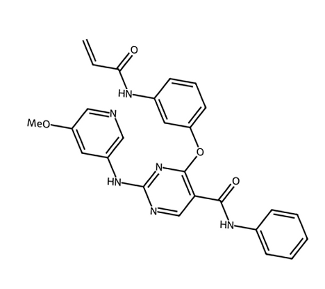 C=CC(=O)Nc1cccc(Oc2nc(Nc3cncc(OC)c3)ncc2C(=O)Nc2ccccc2)c1